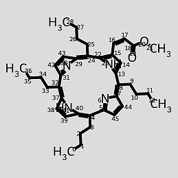 CCCCc1c2nc(c(CCCC)c3cc(/C=C\C(=O)OC)c([nH]3)c(CCCC)c3nc(c(CCCC)c4ccc1[nH]4)C=C3)C=C2